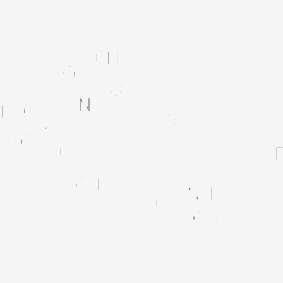 CNC(=O)c1c(-c2ccc(F)cc2)oc2cc3c(cc12)[C@H](C)OC(C)(C)CN3S(C)(=O)=O